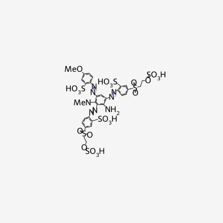 CNc1c(/N=N/c2ccc(OC)cc2S(=O)(=O)O)cc(/N=N/c2ccc(S(=O)(=O)CCOS(=O)(=O)O)cc2S(=O)(=O)O)c(N)c1N=Nc1ccc(S(=O)(=O)CCOS(=O)(=O)O)cc1S(=O)(=O)O